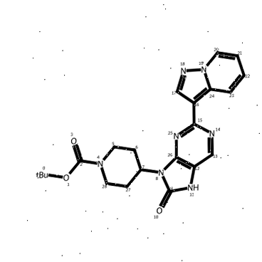 CC(C)(C)OC(=O)N1CCC(n2c(=O)[nH]c3cnc(-c4cnn5ccccc45)nc32)CC1